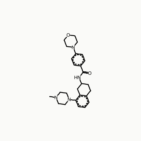 CN1CCN(c2cccc3c2CC(NC(=O)c2ccc(N4CCOCC4)cc2)CC3)CC1